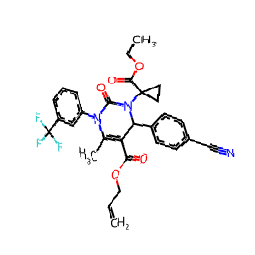 C=CCOC(=O)C1=C(C)N(c2cccc(C(F)(F)F)c2)C(=O)N(C2(C(=O)OCC)CC2)C1c1ccc(C#N)cc1